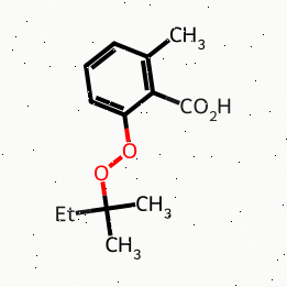 CCC(C)(C)OOc1cccc(C)c1C(=O)O